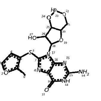 Cc1occc1Sc1nc2c(=O)[nH]c(N)nc2n1C1OC2COPOC2C1O